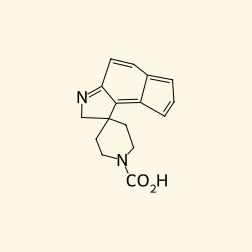 O=C(O)N1CCC2(CC1)CN=c1ccc3c(c12)C=CC=3